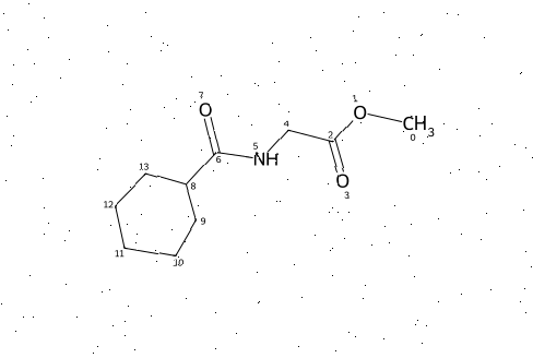 COC(=O)CNC(=O)C1CCCCC1